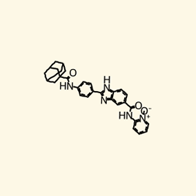 O=C(Nc1cccc[n+]1[O-])c1ccc2[nH]c(-c3ccc(NC(=O)C45CC6CC(CC(C6)C4)C5)cc3)nc2c1